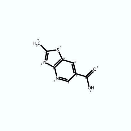 Cc1nc2ncc(C(=O)O)cc2s1